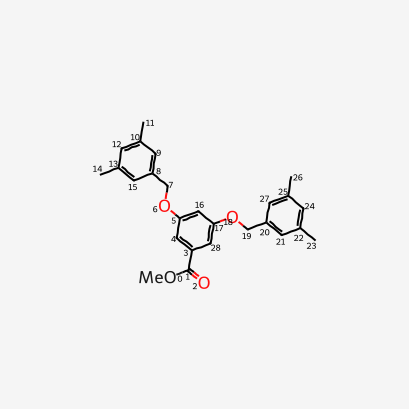 COC(=O)c1cc(OCc2cc(C)cc(C)c2)cc(OCc2cc(C)cc(C)c2)c1